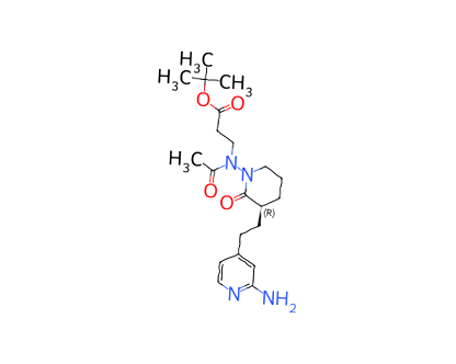 CC(=O)N(CCC(=O)OC(C)(C)C)N1CCC[C@@H](CCc2ccnc(N)c2)C1=O